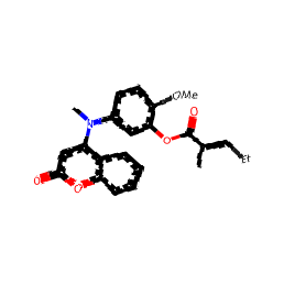 CC/C=C(\C)C(=O)Oc1cc(N(C)c2cc(=O)oc3ccccc23)ccc1OC